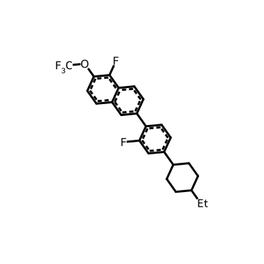 CCC1CCC(c2ccc(-c3ccc4c(F)c(OC(F)(F)F)ccc4c3)c(F)c2)CC1